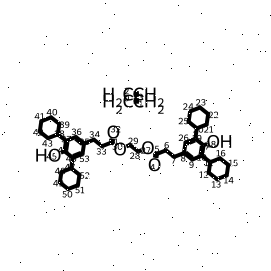 C=C.C=C.O=C(CCc1cc(C2CCCCC2)c(O)c(C2CCCCC2)c1)OCCOC(=O)CCc1cc(C2CCCCC2)c(O)c(C2CCCCC2)c1